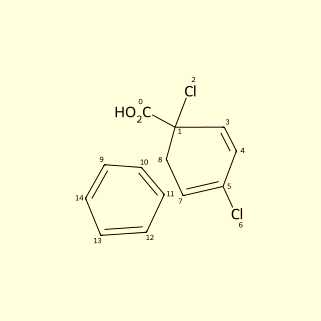 O=C(O)C1(Cl)C=CC(Cl)=CC1.c1ccccc1